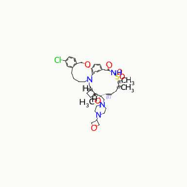 COC1(CN2CCN(C3COC3)CC2)/C=C/C[C@H](C)[C@@H](C)S(=O)(=O)NC(=O)c2ccc3c(c2)N(CCCCc2cc(Cl)ccc2CO3)C[C@@H]2CC[C@H]21